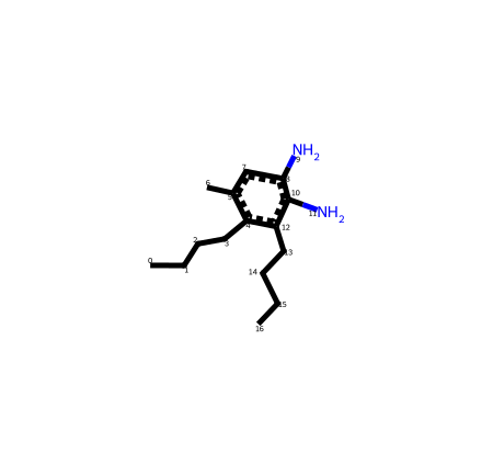 CCCCc1c(C)cc(N)c(N)c1CCCC